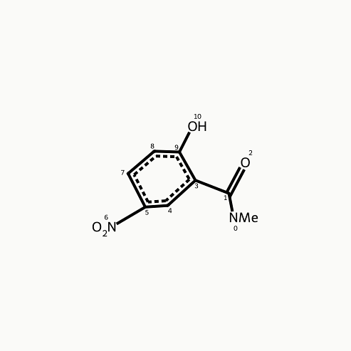 CNC(=O)c1cc([N+](=O)[O-])ccc1O